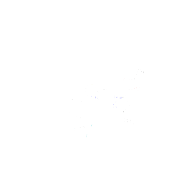 Cc1cc(C2OC(C)O2)n(Cc2nc(-c3cccc(C(F)(F)F)c3)cs2)n1